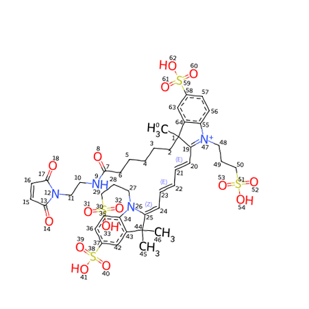 CC1(CCCCCC(=O)NCCN2C(=O)C=CC2=O)C(/C=C/C=C/C=C2\N(CCCS(=O)(=O)O)c3ccc(S(=O)(=O)O)cc3C2(C)C)=[N+](CCCS(=O)(=O)O)c2ccc(S(=O)(=O)O)cc21